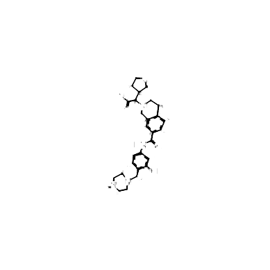 C[C@H]1CN(C(C(N)=O)C2CCOC2)Cc2cc(C(=O)Nc3ccc(CN4CCN(C)CC4)c(C(F)(F)F)c3)ccc21